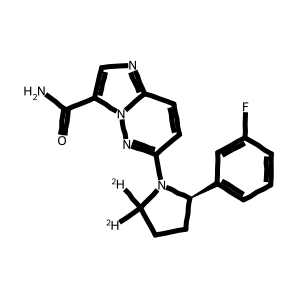 [2H]C1([2H])CC[C@H](c2cccc(F)c2)N1c1ccc2ncc(C(N)=O)n2n1